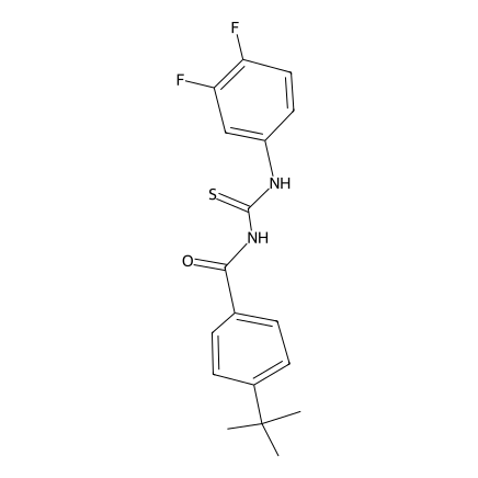 CC(C)(C)c1ccc(C(=O)NC(=S)Nc2ccc(F)c(F)c2)cc1